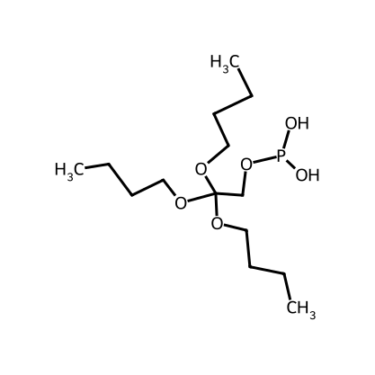 CCCCOC(COP(O)O)(OCCCC)OCCCC